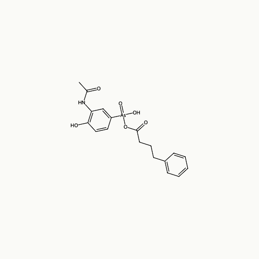 CC(=O)Nc1cc([As](=O)(O)OC(=O)CCCc2ccccc2)ccc1O